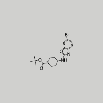 CC(C)(C)OC(=O)N1CCC(Nc2nc3ccc(Br)cc3o2)CC1